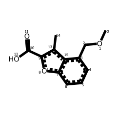 COCc1cccc2oc(C(=O)O)c(C)c12